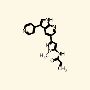 C=CC(=O)Nc1cc(-c2cnc3[nH]cc(-c4ccncc4)c3c2)nn1C